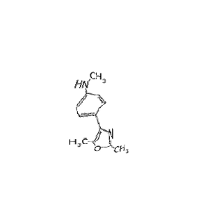 CNc1ccc(-c2nc(C)oc2C)cc1